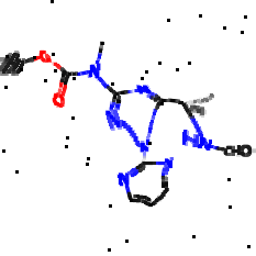 C[C@H](NC=O)c1nc(N(C)C(=O)OC(C)(C)C)nn1-c1ncccn1